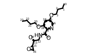 CCCCOc1cnc(C(=O)NCC(=O)C2CO2)c(OCCCC)c1